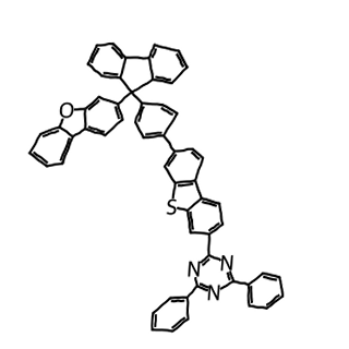 c1ccc(-c2nc(-c3ccccc3)nc(-c3ccc4c(c3)sc3cc(-c5ccc(C6(c7ccc8c(c7)oc7ccccc78)c7ccccc7-c7ccccc76)cc5)ccc34)n2)cc1